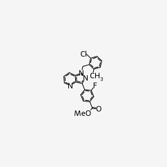 COC(=O)c1ccc(-c2nn(Cc3c(C)cccc3Cl)c3cccnc23)c(F)c1